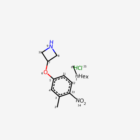 CCCCCCC.Cc1cc(OC2CNC2)ccc1[N+](=O)[O-].Cl